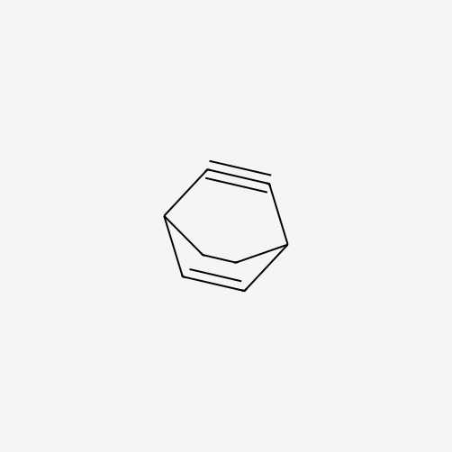 C1#CC2C=CC1CC2